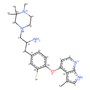 Cc1c[nH]c2nccc(Oc3ccc(CC(N)CN4CCN(C)C(C)(C)C4)cc3F)c12